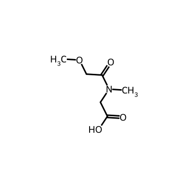 COCC(=O)N(C)CC(=O)O